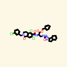 O=C(NCC(NC(=O)c1c(Cl)cc2c(c1Cl)CCN(Cc1cccc(Cl)c1)C2=O)C(=O)OCc1ccccc1)N[C@@H]1CCc2ccccc21